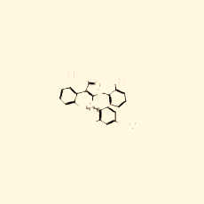 COc1ccc(Nc2c(-c3ccccc3SC)c(C)nn2-c2ccccc2C)c(C(=O)O)c1